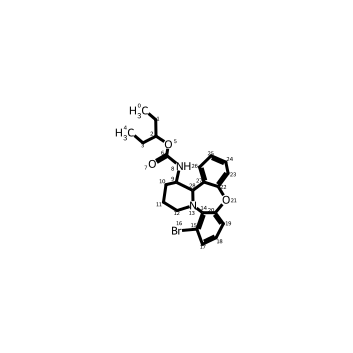 CCC(CC)OC(=O)NC1CCCN2c3c(Br)cccc3Oc3ccccc3C12